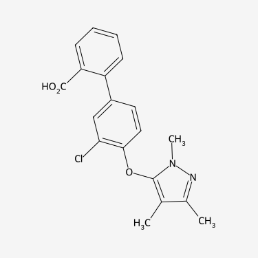 Cc1nn(C)c(Oc2ccc(-c3ccccc3C(=O)O)cc2Cl)c1C